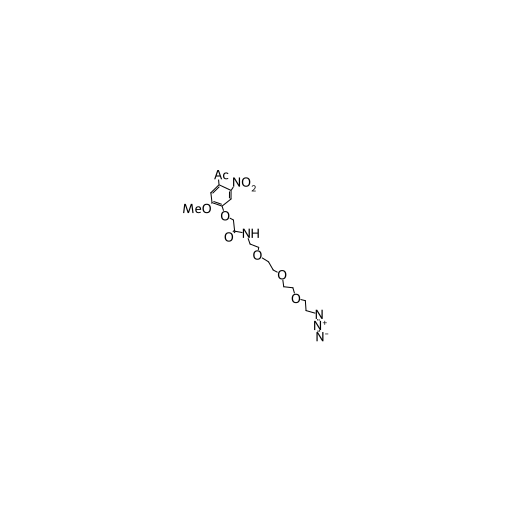 COc1cc(C(C)=O)c([N+](=O)[O-])cc1OCC(=O)NCCOCCOCCOCCN=[N+]=[N-]